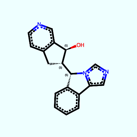 O[C@@H]1c2cnccc2C[C@H]1[C@H]1c2ccccc2-c2cncn21